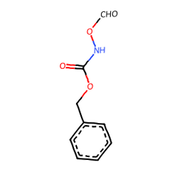 O=CONC(=O)OCc1ccccc1